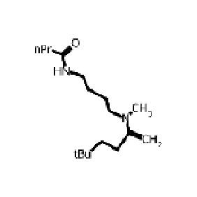 C=C(CCC(C)(C)C)N(C)CCCCNC(=O)CCC